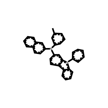 Cc1cccc(N(c2ccc3ccccc3c2)c2ccc3c4ccccc4n(-c4ccccc4)c3c2)c1